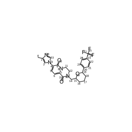 Cc1cn(-c2ccc3n(c2=O)CCN(CC2CCCC(c4ccc(C(F)(F)F)cc4)O2)C3=O)cn1